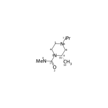 CNC(=O)N1CCN(C(C)C)C[C@@H]1C